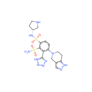 NS(=O)(=O)c1c(S(=O)(=O)N[C@@H]2CCNC2)ccc(N2CCc3[nH]ncc3C2)c1-c1nnn[nH]1